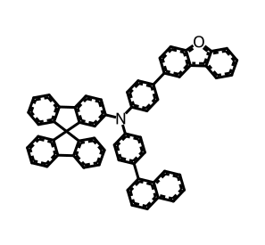 c1ccc2c(c1)-c1ccccc1C21c2ccccc2-c2ccc(N(c3ccc(-c4ccc5oc6ccccc6c5c4)cc3)c3ccc(-c4cccc5ccccc45)cc3)cc21